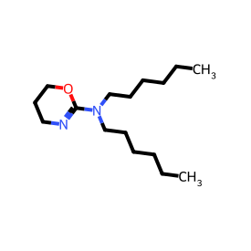 CCCCCCN(CCCCCC)C1=NCCCO1